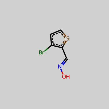 ON=Cc1sccc1Br